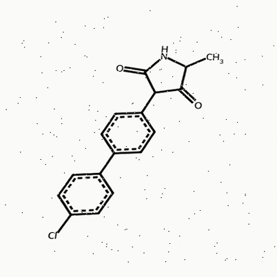 CC1NC(=O)C(c2ccc(-c3ccc(Cl)cc3)cc2)C1=O